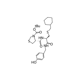 CC(C)(C)OC(=O)N1CSC[C@H]1C(=O)N[C@@H](CSCC1CCCCC1)C(=O)NCc1ccc(O)cc1